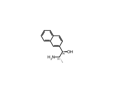 C[C@H](N)[C@H](O)c1ccc2ccccc2c1